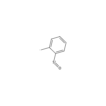 [CH2]c1ccccc1[S+]=O